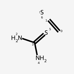 C=C.NC(N)=S.[S]